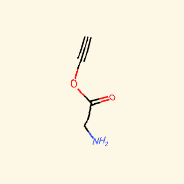 C#COC(=O)CN